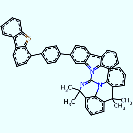 CC1(C)N=C(n2c3ccccc3c3ccc(-c4ccc(-c5cccc6c5sc5ccccc56)cc4)cc32)N2c3ccccc3C(C)(C)c3cccc1c32